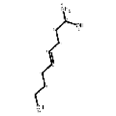 NC(O)CCC=CCCCO